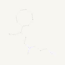 CNC(CCN(C)CCCN)C1CCCCCCC1